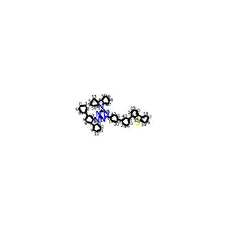 c1ccc(-c2ccc3c4ccccc4n(-c4nc(-c5ccc(-c6cccc(-c7cccc8c7sc7ccccc78)c6)cc5)nc(-n5c6ccccc6c6ccccc65)n4)c3c2)cc1